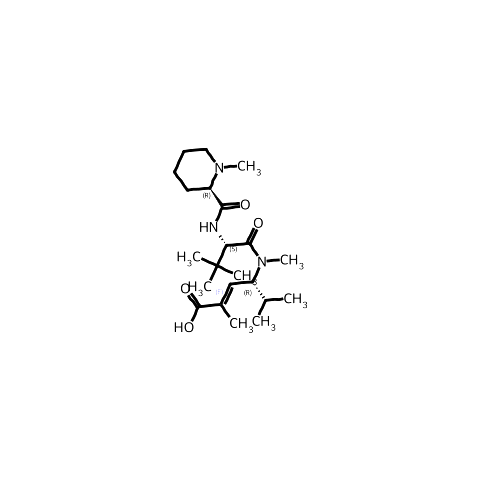 C/C(=C\[C@@H](C(C)C)N(C)C(=O)[C@@H](NC(=O)[C@H]1CCCCN1C)C(C)(C)C)C(=O)O